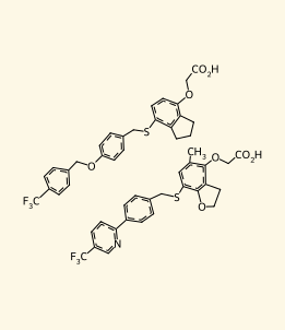 Cc1cc(SCc2ccc(-c3ccc(C(F)(F)F)cn3)cc2)c2c(c1OCC(=O)O)CCO2.O=C(O)COc1ccc(SCc2ccc(OCc3ccc(C(F)(F)F)cc3)cc2)c2c1CCC2